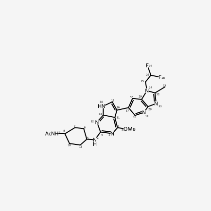 COc1nc(NC2CCC(NC(C)=O)CC2)nc2[nH]cc(-c3cnc4nc(C)n(CC(F)F)c4c3)c12